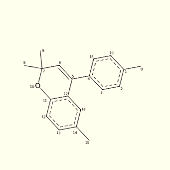 Cc1ccc(C2=CC(C)(C)Oc3ccc(C)cc32)cc1